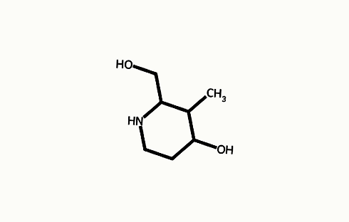 CC1C(O)CCNC1CO